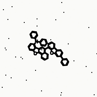 c1ccc(-c2ccc3c(c2)oc2c(-c4cc5c(oc6cccc(N(c7ccccc7)c7ccccc7)c65)c5ccccc45)cccc23)cc1